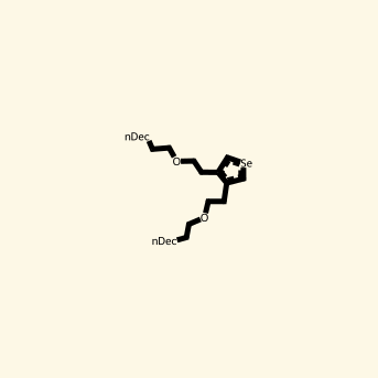 CCCCCCCCCCCCOCCc1c[se]cc1CCOCCCCCCCCCCCC